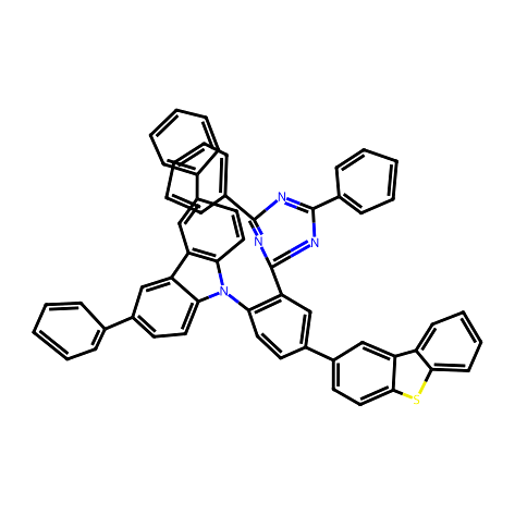 c1ccc(-c2ccc3c(c2)c2cc(-c4ccccc4)ccc2n3-c2ccc(-c3ccc4sc5ccccc5c4c3)cc2-c2nc(-c3ccccc3)nc(-c3ccccc3)n2)cc1